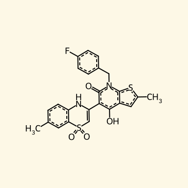 Cc1ccc2c(c1)S(=O)(=O)C=C(c1c(O)c3cc(C)sc3n(Cc3ccc(F)cc3)c1=O)N2